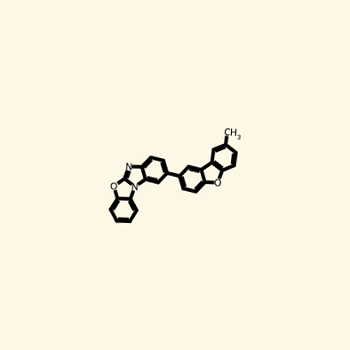 Cc1ccc2oc3ccc(-c4ccc5nc6oc7ccccc7n6c5c4)cc3c2c1